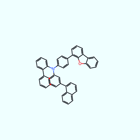 c1ccc(-c2ccccc2N(c2ccc(-c3cccc4c3oc3ccccc34)cc2)c2cccc(-c3cccc4ccccc34)c2)cc1